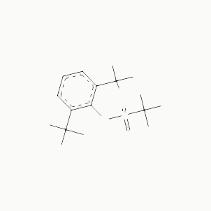 O=S(=O)(Oc1c(C(F)(F)F)cccc1C(F)(F)F)C(F)(F)F